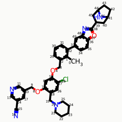 Cc1c(COc2cc(OCc3cncc(C#N)c3)c(CN3CCCCC3)cc2Cl)cccc1-c1ccc2oc(C3CC4CCC(C3)N4)nc2c1